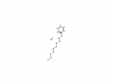 CCCCCCCCCC[n+]1ccccc1.[I-]